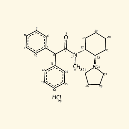 CN(C(=O)C(c1ccccc1)c1ccccc1)[C@@H]1CCCC[C@H]1N1CCCC1.Cl